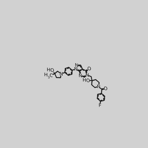 CC1(O)CCN(c2ccc(-n3ncc4c(=O)n(CC5(O)CCN(C(=O)c6ccc(F)cc6)CC5)cnc43)cc2)C1